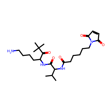 CC(C)C(NC(=O)CCCCCN1C(=O)C=CC1=O)C(=O)NC(CCCCN)C(=O)C(C)(C)C